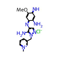 COC1=C/C(=N/c2cnn(Cc3ccc[n+](C)c3)c2N)C(N)=CC1=N.[Cl-]